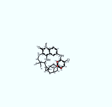 Cn1c(=O)c2c(c3cc(Nc4nc(N5C6CCC5CS(=O)(=O)C6)ncc4Cl)ccc31)NC(C1CC1)C(F)(F)CO2